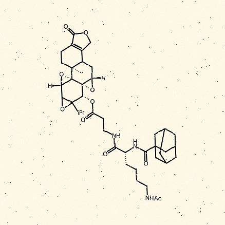 CC(=O)NCCCC[C@@H](NC(=O)C12CC3CC(CC(C3)C1)C2)C(=O)NCCC(=O)O[C@@H]1C2(C(C)C)OC2[C@@H]2O[C@]23[C@]12O[C@H]2CC1C2=C(CC[C@@]13C)C(=O)OC2